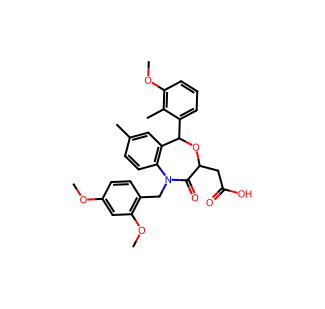 COc1ccc(CN2C(=O)C(CC(=O)O)OC(c3cccc(OC)c3C)c3cc(C)ccc32)c(OC)c1